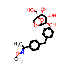 CON=C(C)c1ccc(Cc2cccc([C@]34OC[C@](CO)(O3)[C@@H](O)[C@H](O)[C@H]4O)c2)cc1